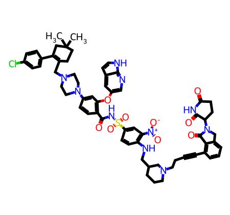 CC1(C)CCC(CN2CCN(c3ccc(C(=O)NS(=O)(=O)c4ccc(NCC5CCCN(CCC#Cc6cccc7c6C(=O)N(C6CCC(=O)NC6=O)C7)C5)c([N+](=O)[O-])c4)c(Oc4cnc5[nH]ccc5c4)c3)CC2)=C(c2ccc(Cl)cc2)C1